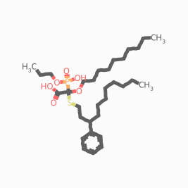 CCCCCCCCCCOC(SCCC(CCCCCCCC)c1ccccc1)(C(=O)O)P(=O)(O)OCCC